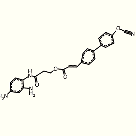 N#COc1ccc(-c2ccc(/C=C/C(=O)OCCC(=O)Nc3ccc(N)cc3N)cc2)cc1